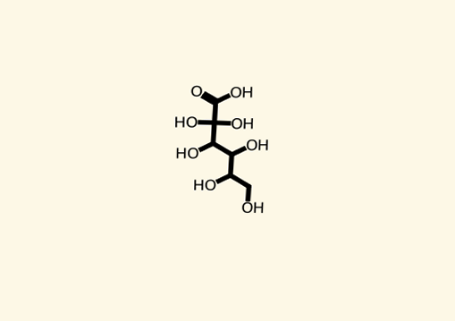 O=C(O)C(O)(O)C(O)C(O)C(O)CO